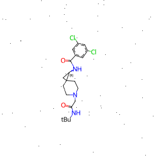 CC(C)(C)NC(=O)CN1CCC2(CC1)C[C@H]2NC(=O)c1cc(Cl)cc(Cl)c1